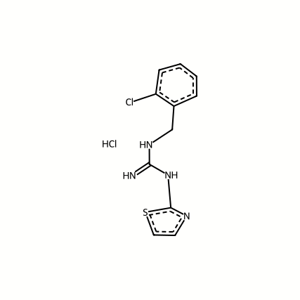 Cl.N=C(NCc1ccccc1Cl)Nc1nccs1